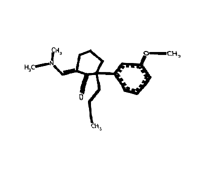 CCCC1(c2cccc(OC)c2)CCCC(=CN(C)C)C1=O